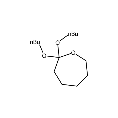 CCCCOC1(OCCCC)CCCCCO1